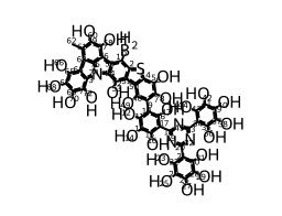 Bc1c2sc3c(O)c(O)c(-c4c(O)c(O)c(O)c(-c5nc(-c6c(O)c(O)c(O)c(O)c6O)nc(-c6c(O)c(O)c(O)c(O)c6O)n5)c4O)c(O)c3c2c(O)c2c1c1c(O)c(O)c(C)c3c4c(O)c(O)c(O)c(O)c4n2c31